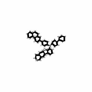 c1ccc(-c2ccc(N(c3ccc(-c4ccc5c(ccc6ccccc65)c4)cc3)c3cccc4c3oc3cc5ccncc5cc34)cc2)cc1